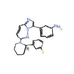 Nc1cccc(-c2cnc3ccc(N4CCCC[C@@H]4c4cccc(F)c4)nn23)c1